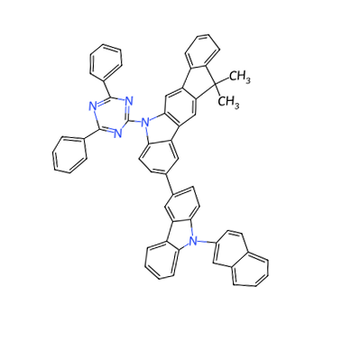 CC1(C)c2ccccc2-c2cc3c(cc21)c1cc(-c2ccc4c(c2)c2ccccc2n4-c2ccc4ccccc4c2)ccc1n3-c1nc(-c2ccccc2)nc(-c2ccccc2)n1